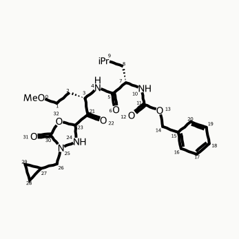 COCC[C@H](NC(=O)[C@H](CC(C)C)NC(=O)OCc1ccccc1)C(=O)C1NN(CC2CC2)C(=O)O1